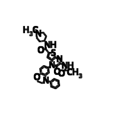 CC(=O)Nc1nc2sc(C(=O)NC3CCN(C)CC3)cc2n(-c2ccc3c(c2)N(c2ccccc2)CCO3)c1=O